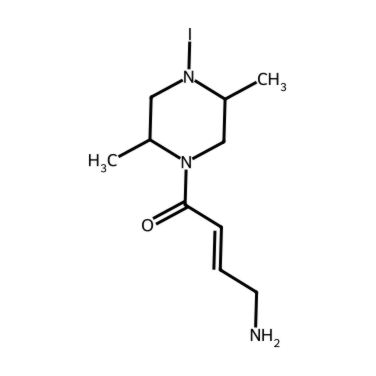 CC1CN(C(=O)/C=C/CN)C(C)CN1I